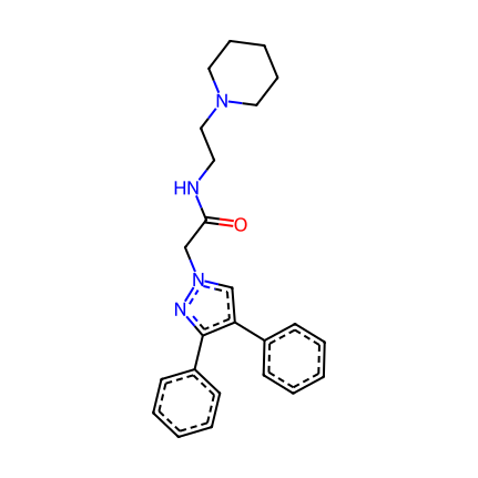 O=C(Cn1cc(-c2ccccc2)c(-c2ccccc2)n1)NCCN1CCCCC1